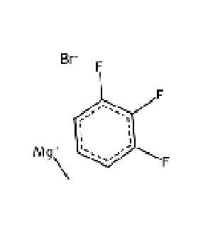 Fc1cccc(F)c1F.[Br-].[CH3][Mg+]